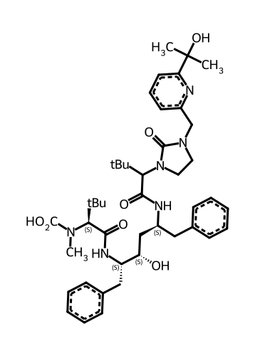 CN(C(=O)O)[C@H](C(=O)N[C@@H](Cc1ccccc1)[C@@H](O)C[C@H](Cc1ccccc1)NC(=O)C(N1CCN(Cc2cccc(C(C)(C)O)n2)C1=O)C(C)(C)C)C(C)(C)C